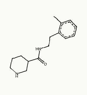 Cc1ccccc1CCNC(=O)C1CCCNC1